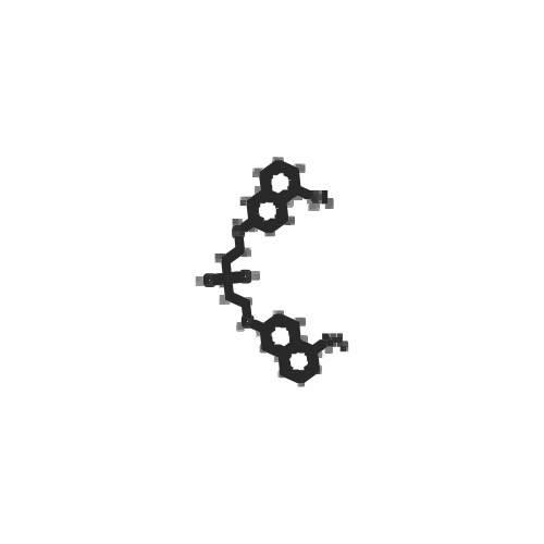 Nc1cccc2cc(OCCS(=O)(=O)CCOc3ccc4c(N)cccc4c3)ccc12